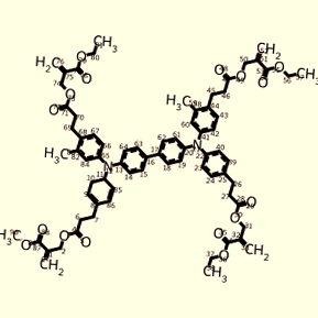 C=C(COC(=O)CCC1=CCC(N(c2ccc(-c3ccc(N(c4ccc(CCC(=O)OCC(=C)C(=O)OCC)cc4)c4ccc(CCC(=O)OCC(=C)C(=O)OCC)c(C)c4)cc3)cc2)c2ccc(CCC(=O)OCC(=C)C(=O)OCC)c(C)c2)C=C1)C(=O)OC